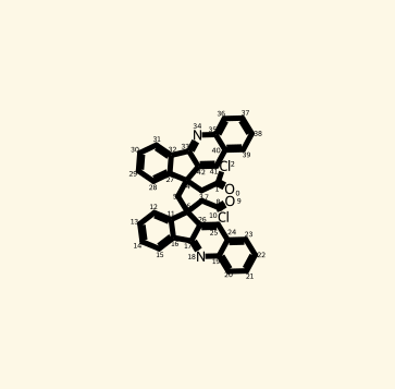 O=C(Cl)CC1(CC2(CC(=O)Cl)c3ccccc3-c3nc4ccccc4cc32)c2ccccc2-c2nc3ccccc3cc21